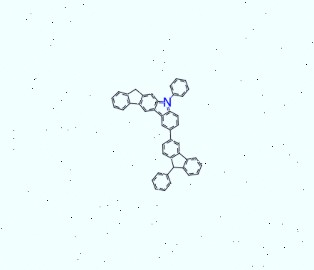 c1ccc(C2c3ccccc3-c3cc(-c4ccc5c(c4)c4cc6c(cc4n5-c4ccccc4)Cc4ccccc4-6)ccc32)cc1